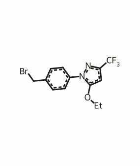 CCOc1cc(C(F)(F)F)nn1-c1ccc(CBr)cc1